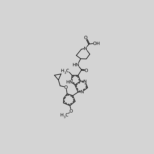 COc1ccc(OCC2CC2)c(-c2ncnc3c(C(=O)NC4CCN(C(=O)O)CC4)c(C)[nH]c23)c1